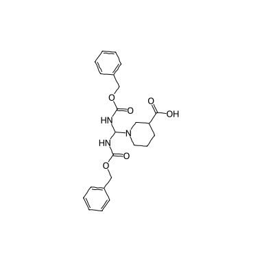 O=C(NC(NC(=O)OCc1ccccc1)N1CCCC(C(=O)O)C1)OCc1ccccc1